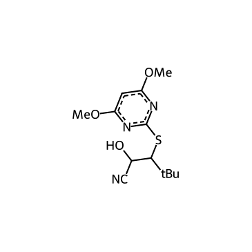 COc1cc(OC)nc(SC(C(O)C#N)C(C)(C)C)n1